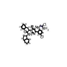 N/C(Cl)=C\N(N)c1ccc(Cl)cc1-c1cc(=O)n(C(Cc2ccccc2)C(=O)NC2CCc3ccccc32)cn1